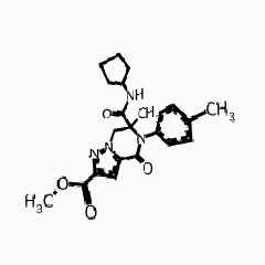 COC(=O)c1cc2n(n1)CC(C)(C(=O)NC1CCCC1)N(c1ccc(C)cc1)C2=O